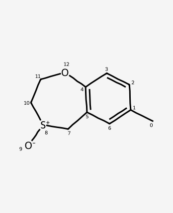 Cc1ccc2c(c1)C[S+]([O-])CCO2